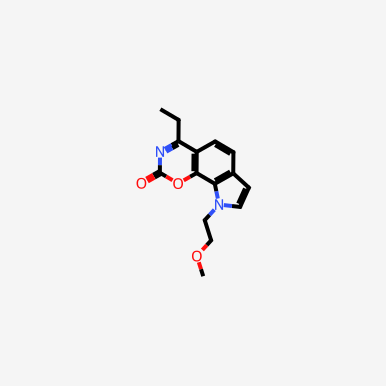 CCc1nc(=O)oc2c1ccc1ccn(CCOC)c12